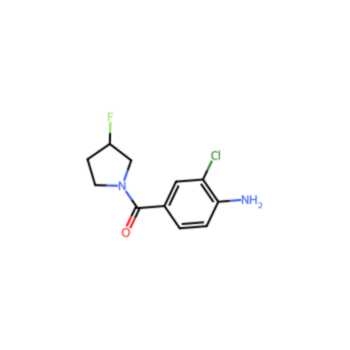 Nc1ccc(C(=O)N2CCC(F)C2)cc1Cl